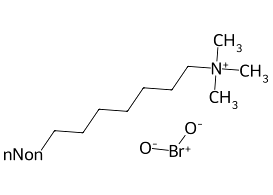 CCCCCCCCCCCCCCCC[N+](C)(C)C.[O-][Br+][O-]